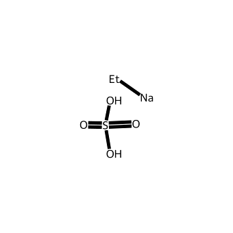 C[CH2][Na].O=S(=O)(O)O